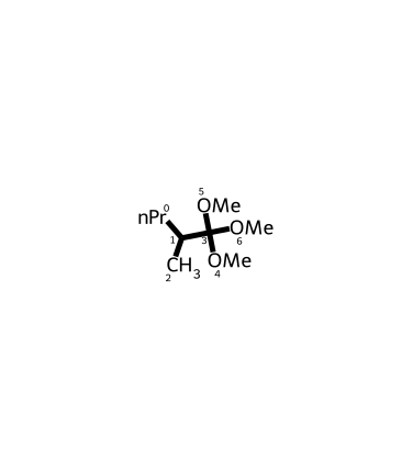 CCCC(C)C(OC)(OC)OC